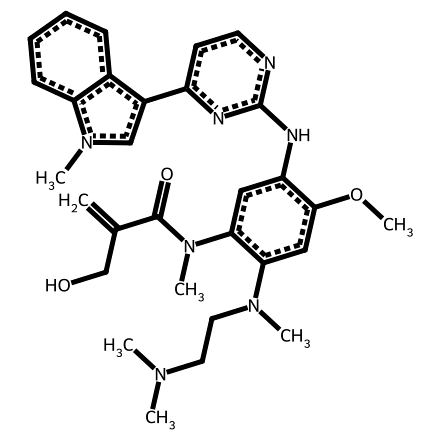 C=C(CO)C(=O)N(C)c1cc(Nc2nccc(-c3cn(C)c4ccccc34)n2)c(OC)cc1N(C)CCN(C)C